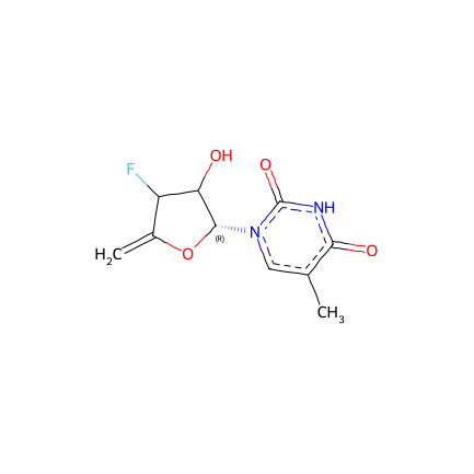 C=C1O[C@@H](n2cc(C)c(=O)[nH]c2=O)C(O)C1F